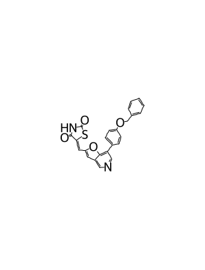 O=C1NC(=O)C(=Cc2cc3cncc(-c4ccc(OCc5ccccc5)cc4)c3o2)S1